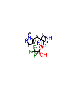 Cn1nccc1CC1(N)CNC1.O=C(O)C(F)(F)F